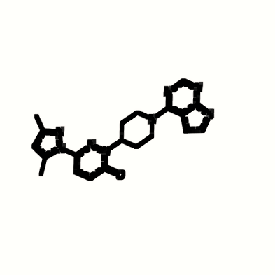 Cc1cc(C)n(-c2ccc(=O)n(C3CCN(c4ncnc5sccc45)CC3)n2)n1